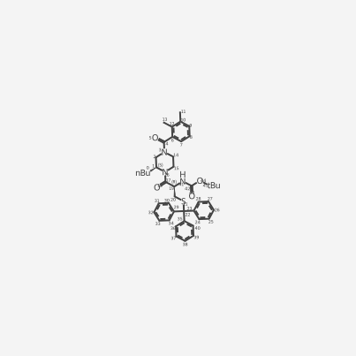 CCCC[C@H]1CN(C(=O)c2cccc(C)c2C)CCN1C(=O)[C@H](CSC(c1ccccc1)(c1ccccc1)c1ccccc1)NC(=O)OC(C)(C)C